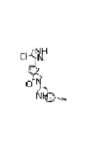 C#Cc1cccc(C[C@@H](CN)N2Cc3cc(C4=C(Cl)CNN4C)ccc3C2=O)c1